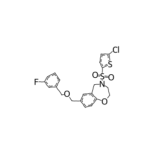 O=S(=O)(c1ccc(Cl)s1)N1CCOc2ccc(COCc3cccc(F)c3)cc2C1